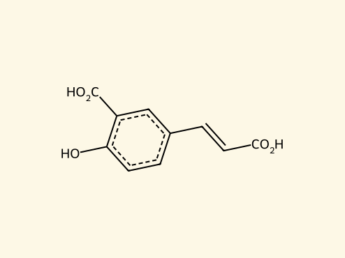 O=C(O)/C=C/c1ccc(O)c(C(=O)O)c1